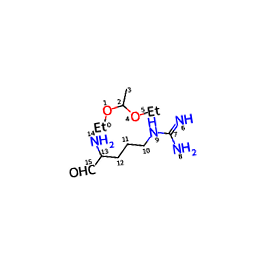 CCOC(C)OCC.N=C(N)NCCCC(N)C=O